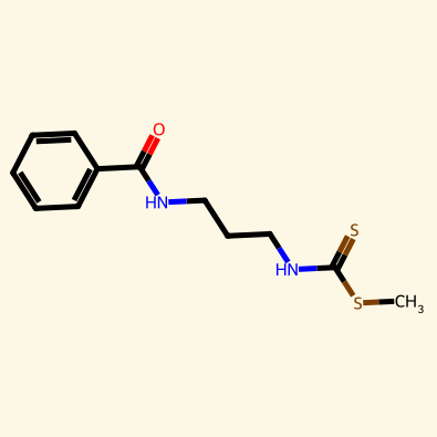 CSC(=S)NCCCNC(=O)c1ccccc1